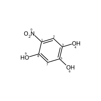 O=[N+]([O-])c1cc(O)c(O)cc1O